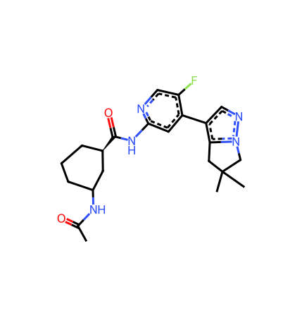 CC(=O)NC1CCC[C@@H](C(=O)Nc2cc(-c3cnn4c3CC(C)(C)C4)c(F)cn2)C1